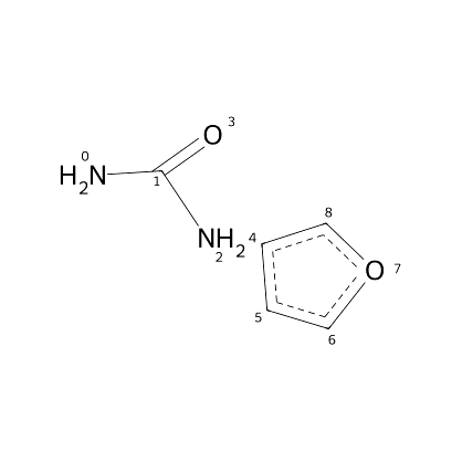 NC(N)=O.c1ccoc1